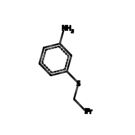 CC(C)CSc1cccc(N)c1